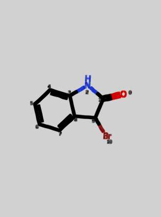 O=C1Nc2ccccc2C1Br